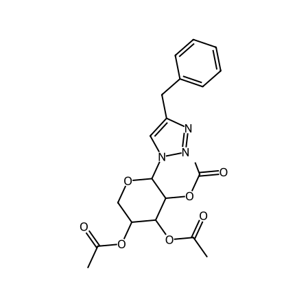 CC(=O)OC1COC(n2cc(Cc3ccccc3)nn2)C(OC(C)=O)C1OC(C)=O